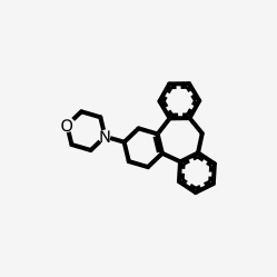 c1ccc2c(c1)Cc1ccccc1C1=C2CCC(N2CCOCC2)C1